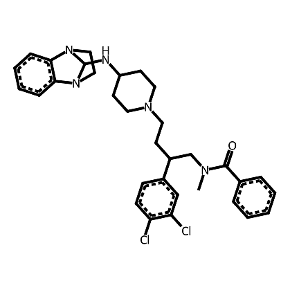 CN(CC(CCN1CCC(NC2N3CCN2c2ccccc23)CC1)c1ccc(Cl)c(Cl)c1)C(=O)c1ccccc1